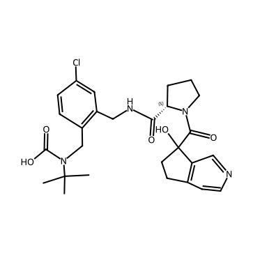 CC(C)(C)N(Cc1ccc(Cl)cc1CNC(=O)[C@@H]1CCCN1C(=O)C1(O)CCc2ccncc21)C(=O)O